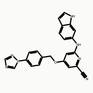 N#Cc1cc(OCc2ccc(-n3cncn3)cc2)cc(Nc2ccc3cc[nH]c3c2)n1